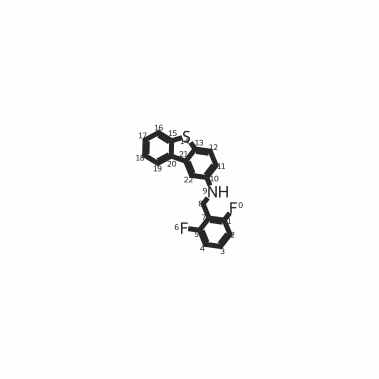 Fc1cccc(F)c1CNc1ccc2sc3ccccc3c2c1